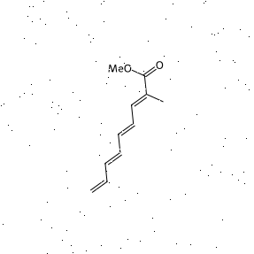 C=CC=CC=CC=C(C)C(=O)OC